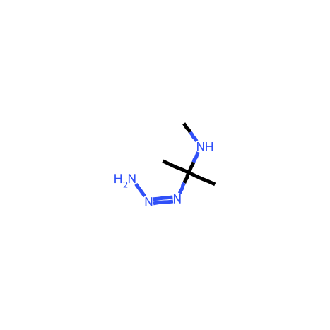 CNC(C)(C)/N=N\N